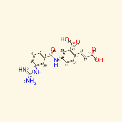 N=C(N)Nc1cccc(C(=O)Nc2ccc(C=CC(=O)O)c(C(=O)O)c2)c1